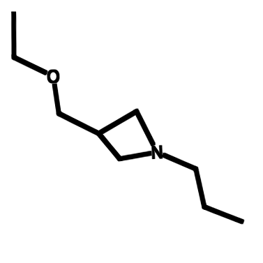 CCCN1CC(COCC)C1